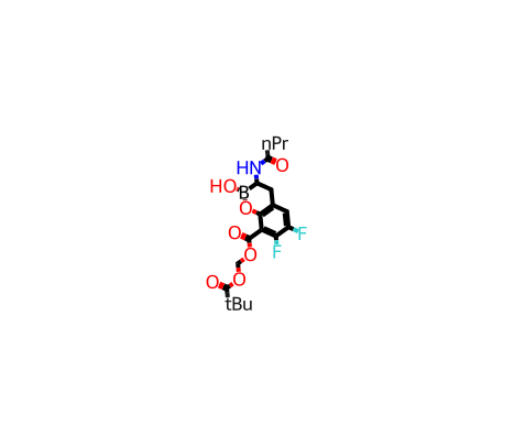 CCCC(=O)NC1Cc2cc(F)c(F)c(C(=O)OCOC(=O)C(C)(C)C)c2OB1O